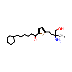 CC(N)(CO)CCc1ccc(C(=O)CCCCCC2CCCCC2)s1